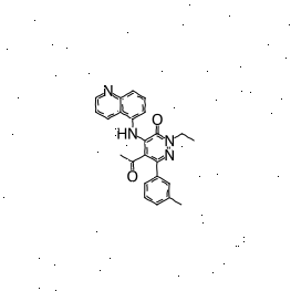 CCn1nc(-c2cccc(C)c2)c(C(C)=O)c(Nc2cccc3ncccc23)c1=O